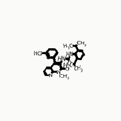 CC(C)c1cccc(C(C)C)c1NC(=O)Nc1c(-c2cccc(O)c2)c2cccnc2n(C)c1=O